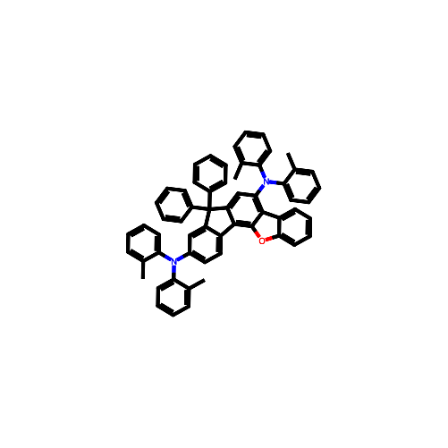 Cc1ccccc1N(c1ccc2c(c1)C(c1ccccc1)(c1ccccc1)c1cc(N(c3ccccc3C)c3ccccc3C)c3c(oc4ccccc43)c1-2)c1ccccc1C